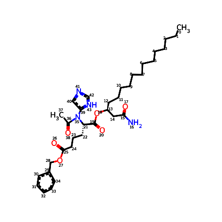 CCCCCCCCCCCCC[C@@H](CC(N)=O)OC(=O)[C@H](CCCC(=O)OCc1ccccc1)N(C(C)=O)c1cnc[nH]1